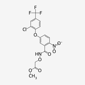 COC(=O)CONC(=O)c1cc(Oc2ccc(C(F)(F)F)cc2Cl)ccc1[N+](=O)[O-]